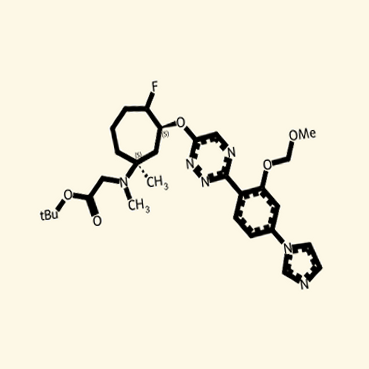 COCOc1cc(-n2ccnc2)ccc1-c1ncc(O[C@H]2C[C@@](C)(N(C)CC(=O)OC(C)(C)C)CCCC2F)nn1